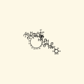 CC(C)(C)OC(=O)N[C@H]1CCCCCCCCCC[C@@H](C(=O)C(=O)NCC(=O)NCc2ccccc2)NC(=O)[C@@H]2[C@@H]3C(CN2C1=O)C3(C)C